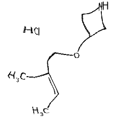 CC=C(C)COC1CNC1.Cl